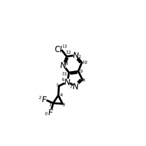 FC1(F)CC1Cn1ncc2cnc(Cl)nc21